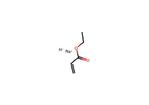 C=CC(=O)OCC.[H-].[Na+]